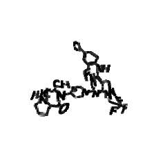 CC(C)N(C(=O)C1CCCN1)C1CCN(c2nc(Nc3ccc(Cl)cc3F)c3cnn(CC(F)(F)F)c3n2)CC1